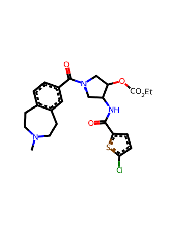 CCOC(=O)OC1CN(C(=O)c2ccc3c(c2)CCN(C)CC3)CC1NC(=O)c1ccc(Cl)s1